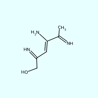 CC(=N)/C(N)=C/C(=N)CO